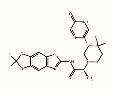 C[C@@H](C(=O)Nc1nc2cc3c(cc2s1)OC(F)(F)O3)N1CCC(F)(F)[C@@H](c2c[nH]c(=O)cn2)C1